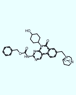 O=C(Nc1ncc2c3ccc(CN4CCN5CCC4CC5)cc3c(=O)n(C3CCC(O)CC3)c2n1)OCc1ccccc1